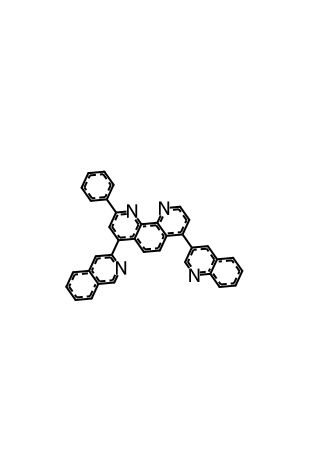 c1ccc(-c2cc(-c3cc4ccccc4cn3)c3ccc4c(-c5cnc6ccccc6c5)ccnc4c3n2)cc1